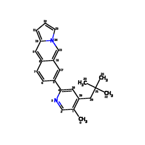 Cc1cnc(-c2ccc3cc4cccn4cc3c2)cc1CC(C)(C)C